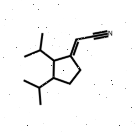 CC(C)C1CC/C(=C\C#N)C1C(C)C